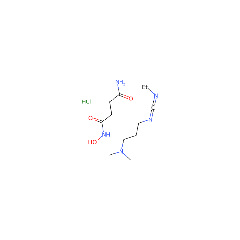 CCN=C=NCCCN(C)C.Cl.NC(=O)CCC(=O)NO